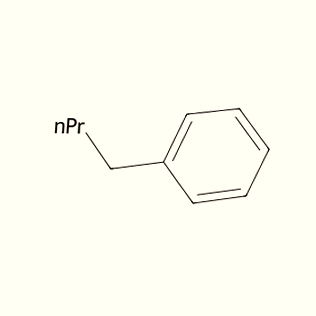 C[C]CCc1ccccc1